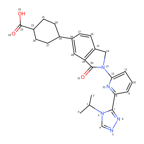 CC(C)n1cnnc1-c1cccc(N2Cc3ccc(C4CCC(C(=O)O)CC4)cc3C2=O)n1